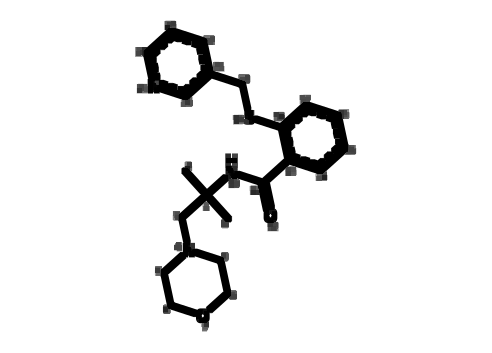 CC(C)(CN1CCOCC1)NC(=O)c1ccccc1SCc1cccnc1